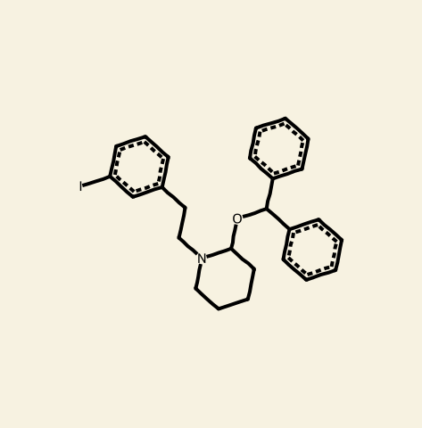 Ic1cccc(CCN2CCCCC2OC(c2ccccc2)c2ccccc2)c1